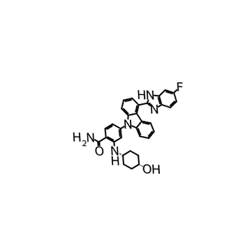 NC(=O)c1ccc(-n2c3ccccc3c3c(-c4nc5ccc(F)cc5[nH]4)cccc32)cc1N[C@H]1CC[C@@H](O)CC1